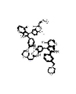 C=CC(=O)Nc1cc(-c2c(-c3cccc(N4CCOC(/C=C\C(=O)Nc5cc(-c6c(-c7cccc(CN8CCOCC8)c7)[nH]c7nccc(Cl)c67)ccc5C)C4)c3)[nH]c3nccc(Cl)c23)ccc1C